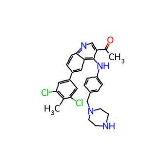 CC(=O)c1cnc2ccc(-c3cc(Cl)c(C)c(Cl)c3)cc2c1Nc1ccc(CN2CCNCC2)cc1